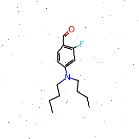 CCCCN(CCCC)c1ccc(C=O)c(F)c1